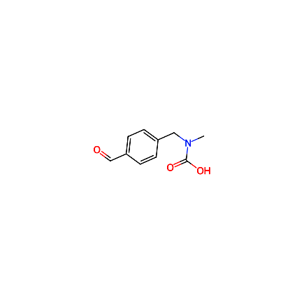 CN(Cc1ccc(C=O)cc1)C(=O)O